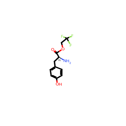 N[C@@H](Cc1ccc(O)cc1)C(=O)OCC(F)(F)F